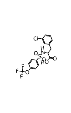 O=C(O)C(Cc1cccc(Cl)c1)NS(=O)(=O)c1ccc(OC(F)(F)F)cc1